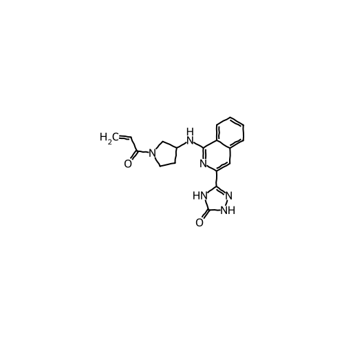 C=CC(=O)N1CCC(Nc2nc(-c3n[nH]c(=O)[nH]3)cc3ccccc23)C1